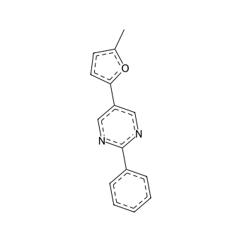 Cc1ccc(-c2cnc(-c3ccccc3)nc2)o1